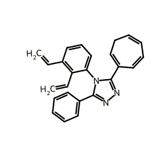 C=Cc1cccc(-n2c(C3=CCC=CC=C3)nnc2-c2ccccc2)c1C=C